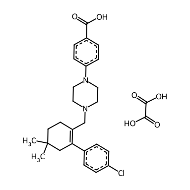 CC1(C)CCC(CN2CCN(c3ccc(C(=O)O)cc3)CC2)=C(c2ccc(Cl)cc2)C1.O=C(O)C(=O)O